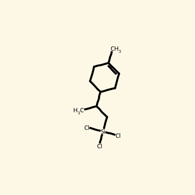 CC1=CCC(C(C)C[Si](Cl)(Cl)Cl)CC1